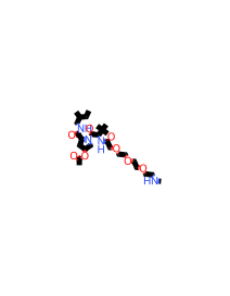 CCC(C)CNC(=O)C1CC(OC(C)=O)CN1C(=O)C(NC(=O)COCCOCCOCCNC)C(C)(C)C